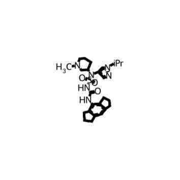 CC(C)n1cc(N(C2CCCN(C)C2)S(=O)(=O)NC(=O)Nc2c3c(cc4c2CCC4)CCC3)cn1